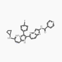 N=C(/C=C\c1nc(-c2ccc(F)cc2)c(-c2ccc3nc(NC(=O)c4ccncc4)cn3n2)[nH]1)NC1CCC1